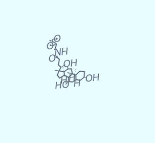 C[C@H](CCC(=O)NCCS(C)(=O)=O)[C@@]1(C)CC[C@H]2[C@@H]3[C@H](O)C[C@@H]4C[C@H](O)CC[C@]4(C)[C@@]3(C)C[C@H](O)[C@@]21C